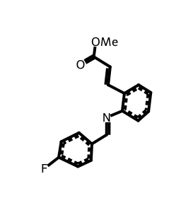 COC(=O)/C=C/c1ccccc1/N=C/c1ccc(F)cc1